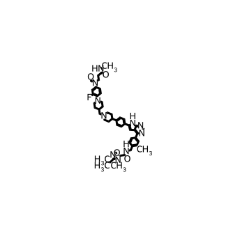 CNC(=O)CCN(C=O)c1ccc(N2CCC(CN3CCC(c4ccc(-c5cc6c(-c7ccc(CNC(=O)c8nc(C(C)(C)C)no8)c(C)c7)ncnc6[nH]5)cc4)CC3)CC2)c(F)c1